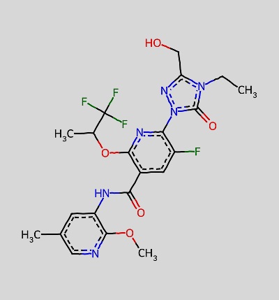 CCn1c(CO)nn(-c2nc(OC(C)C(F)(F)F)c(C(=O)Nc3cc(C)cnc3OC)cc2F)c1=O